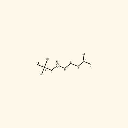 CC(C)CCCOCC(C)(C)C